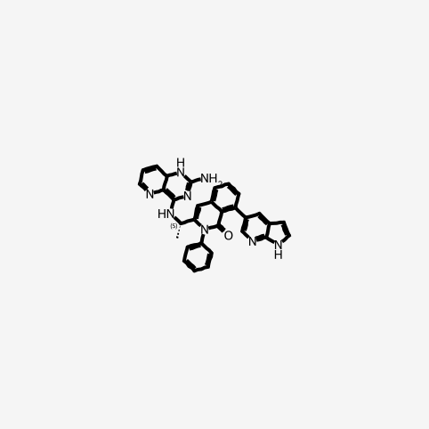 C[C@H](NC1=C2N=CC=CC2NC(N)=N1)c1cc2cccc(-c3cnc4[nH]ccc4c3)c2c(=O)n1-c1ccccc1